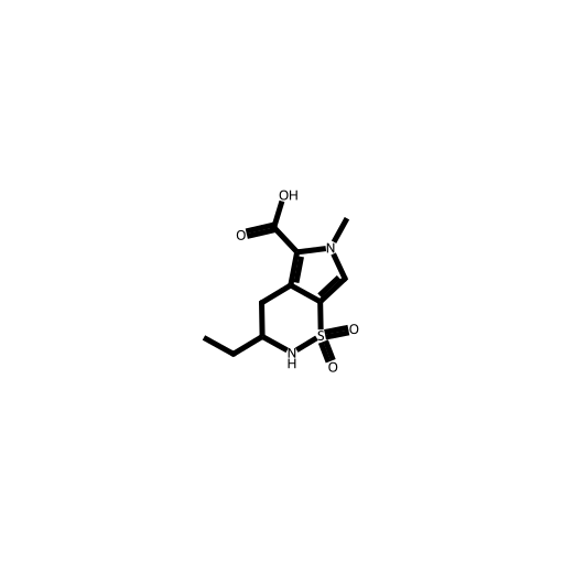 CCC1Cc2c(cn(C)c2C(=O)O)S(=O)(=O)N1